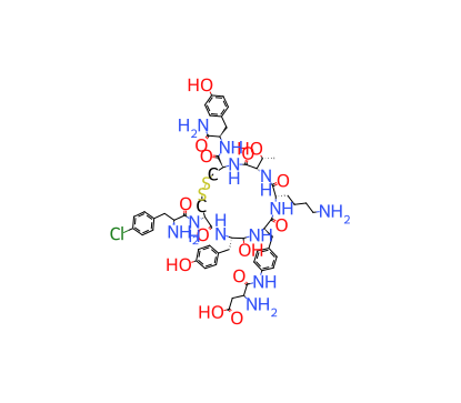 C[C@@H](O)[C@@H]1NC(=O)[C@H](CCCCN)NC(=O)[C@@H](Cc2ccc(NC(=O)C(N)CC(=O)O)cc2)NC(O)[C@H](Cc2ccc(O)cc2)NC(=O)[C@H](NC(=O)[C@@H](N)Cc2ccc(Cl)cc2)CSSC[C@@H](C(=O)N[C@H](Cc2ccc(O)cc2)C(N)=O)NC1=O